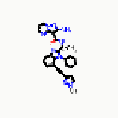 C[C@H](NC(=O)c1c(N)nn2cccnc12)c1nc2cccc(C#Cc3ccn(C)n3)c2n1-c1ccccc1